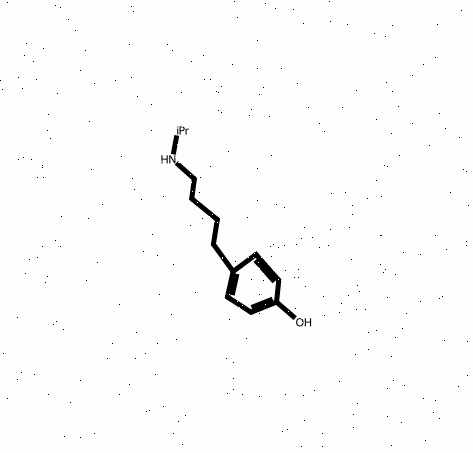 CC(C)NCCCCc1ccc(O)cc1